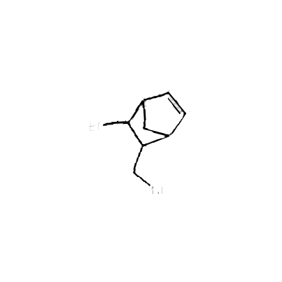 CCC1C2C=CC(C2)C1CN